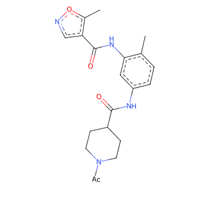 CC(=O)N1CCC(C(=O)Nc2ccc(C)c(NC(=O)c3cnoc3C)c2)CC1